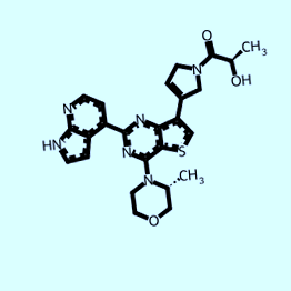 C[C@@H]1COCCN1c1nc(-c2ccnc3[nH]ccc23)nc2c(C3=CCN(C(=O)[C@@H](C)O)C3)csc12